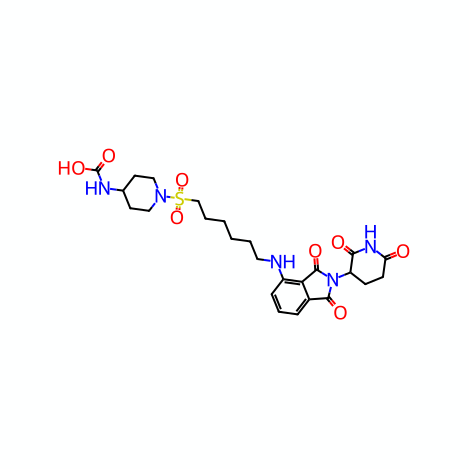 O=C(O)NC1CCN(S(=O)(=O)CCCCCCNc2cccc3c2C(=O)N(C2CCC(=O)NC2=O)C3=O)CC1